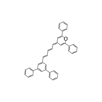 C(/C=C/C=C/c1cc(-c2ccccc2)cc(-c2ccccc2)c1)=C1C=C(c2ccccc2)OC(c2ccccc2)=C1